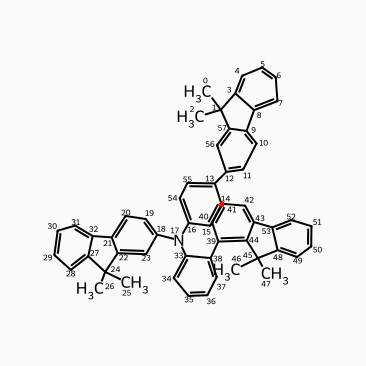 CC1(C)c2ccccc2-c2ccc(-c3ccc(N(c4ccc5c(c4)C(C)(C)c4ccccc4-5)c4ccccc4-c4cccc5c4C(C)(C)c4ccccc4-5)cc3)cc21